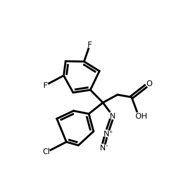 [N-]=[N+]=NC(CC(=O)O)(c1ccc(Cl)cc1)c1cc(F)cc(F)c1